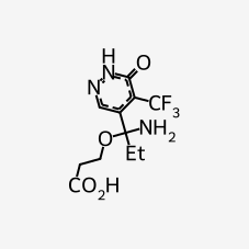 CCC(N)(OCCC(=O)O)c1cn[nH]c(=O)c1C(F)(F)F